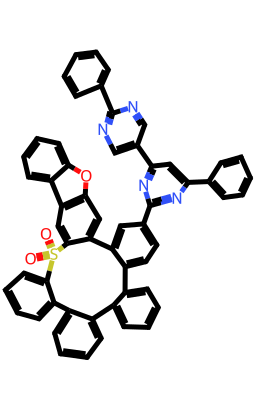 O=S1(=O)c2ccccc2-c2ccccc2-c2ccccc2-c2ccc(-c3nc(-c4ccccc4)cc(-c4cnc(-c5ccccc5)nc4)n3)cc2-c2cc3oc4ccccc4c3cc21